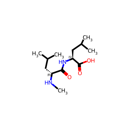 CN[C@H](CC(C)C)C(=O)N[C@@H](CC(C)C)C(=O)O